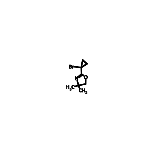 CC1(C)COC(C2(Br)CC2)=N1